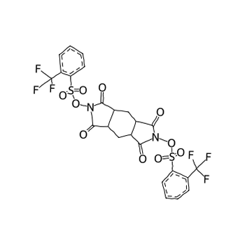 O=C1C2CC3C(=O)N(OS(=O)(=O)c4ccccc4C(F)(F)F)C(=O)C3CC2C(=O)N1OS(=O)(=O)c1ccccc1C(F)(F)F